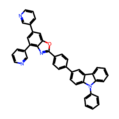 c1ccc(-n2c3ccccc3c3cc(-c4ccc(-c5nc6c(-c7cccnc7)cc(-c7cccnc7)cc6o5)cc4)ccc32)cc1